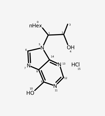 CCCCCCC(C(C)O)n1cnc2c(O)ncnc21.Cl